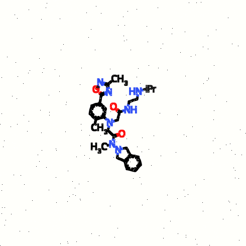 Cc1noc(-c2ccc(C)c(N(CC(=O)NCCNC(C)C)CC(=O)N(C)N3Cc4ccccc4C3)c2)n1